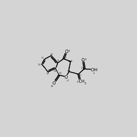 C=C(C(=O)O)C1CC(=O)c2ccccc2C(=O)O1